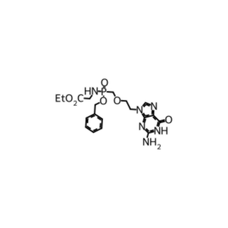 CCOC(=O)CNP(=O)(COCCn1cnc2c(=O)[nH]c(N)nc21)OCc1ccccc1